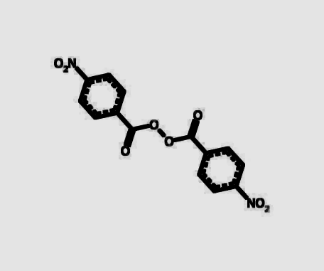 O=C(OOC(=O)c1ccc([N+](=O)[O-])cc1)c1ccc([N+](=O)[O-])cc1